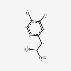 NC(C=O)Cc1ccc(Cl)c(Cl)c1